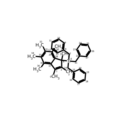 CC1=C(C)[C](C)([Ti]([CH2]c2ccccc2)([CH2]c2ccccc2)[CH2]c2ccccc2)c2c(C)c(C)c(C)c(C)c21